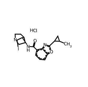 CC1CC1c1nc2c(C(=O)NC3C4CCN(CC4)C3I)cccc2o1.Cl